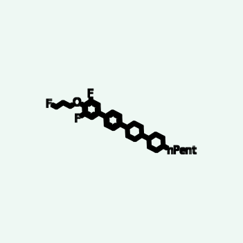 CCCCCC1CCC(C2CCC(c3ccc(-c4cc(F)c(OCCCF)c(F)c4)cc3)CC2)CC1